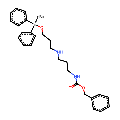 CCCC[Si](OCCCNCCCNC(=O)OCc1ccccc1)(c1ccccc1)c1ccccc1